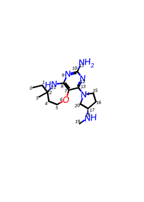 CCC1(C)CCOc2c(nc(N)nc2N2CC[C@@H](NC)C2)N1